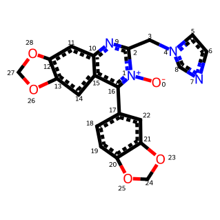 [O-][n+]1c(Cn2ccnc2)nc2cc3c(cc2c1-c1ccc2c(c1)OCO2)OCO3